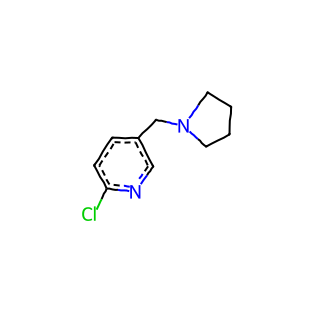 Clc1ccc(CN2CCCC2)cn1